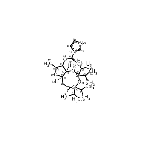 CC(C)[Si]1(C(C)C)OC[C@H]2O[C@@H](C)C(OC(=S)n3ccnc3)[C@H]2O[Si](C(C)C)(C(C)C)O1